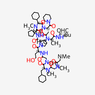 CC[C@H](C)[C@@H](C=O)NC(=O)[C@@H](C)N(C)C(=O)C[C@@H](C(=O)N1CCCCC1)N(C)C(=O)[C@H](C1CCCCC1)N(C)C(=O)C1(NC(=O)[C@@H]2CCCN2C(=O)[C@H](CCO)NC(=O)CN(C)C(=O)[C@H](CC2CCCCC2)N(C)C(=O)CN(C)C(=O)CNC)CCCC1